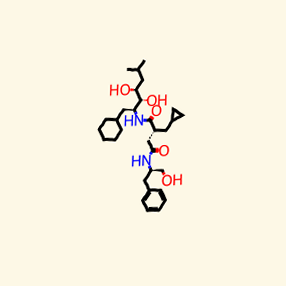 CC(C)C[C@H](O)[C@H](O)[C@H](CC1CCCCC1)NC(=O)[C@@H](CC(=O)N[C@@H](CO)Cc1ccccc1)CC1CC1